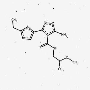 CCc1ccc(-c2noc(N)c2C(=O)NCC(C)OC)s1